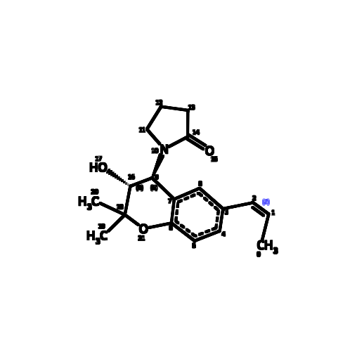 C/C=C\c1ccc2c(c1)[C@H](N1CCCC1=O)[C@@H](O)C(C)(C)O2